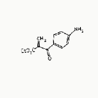 C=C(C(=O)OCC)C(=O)c1ccc(N)cc1